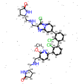 COc1nc(-c2cccc(-c3cccc(-c4ccn5c(Cl)c(CNC[C@H]6CCC(=O)N6)nc5c4)c3Cl)c2Cl)ccc1CNC[C@@H]1CCC(=O)N1